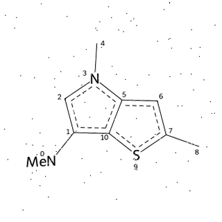 CNc1cn(C)c2cc(C)sc12